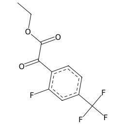 CCOC(=O)C(=O)c1ccc(C(F)(F)F)cc1F